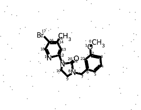 COc1cccc(CN2CCN(c3cc(C)c(Br)cn3)C2=O)c1